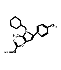 CCCCNC(=O)Oc1cc(-c2ccc(C)cc2)n(CC2CCCCC2)c1C